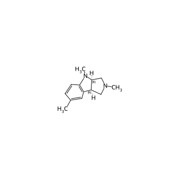 Cc1ccc2c(c1)[C@@H]1CN(C)C[C@@H]1N2C